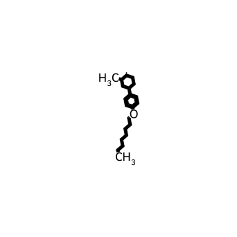 CCCCCCCCOc1ccc(C2CC[CH]C(C)C2)cc1